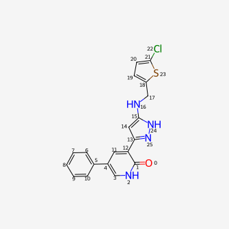 O=c1[nH]cc(-c2ccccc2)cc1-c1cc(NCc2ccc(Cl)s2)[nH]n1